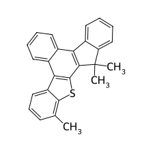 Cc1cccc2c1sc1c3c(c4ccccc4c12)-c1ccccc1C3(C)C